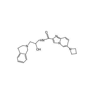 O=C(NCC(O)CN1CCc2ccccc2C1)c1cn2cc(N3CCC3)ccc2n1